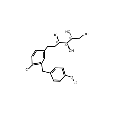 CCOc1ccc(Cc2cc(CC[C@@H](O)[C@H](O)[C@H](O)CO)ccc2Cl)cc1